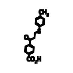 Cc1ccc(SCCC(=O)c2ccc(C(=O)O)cc2)cc1